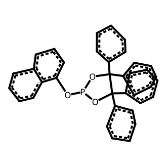 c1ccc(C2(c3ccccc3)OP(Oc3cccc4ccccc34)OC2(c2ccccc2)c2ccccc2)cc1